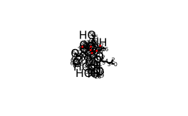 CC(C)=CCCC1(C)C=Cc2c(c(CC=C(C)C)c3c(c2O[C@@H]2O[C@@H]4COC(C)(C)O[C@H]4[C@H](O)[C@H]2O)C2=C4C(C5CC6C(C)(C)OC(C/C=C(/C)C(=O)NCCO)(C5=O)C46O3)C3C(=O)c4ccccc4C3=N2)O1